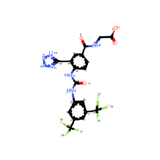 O=C(O)CNC(=O)c1ccc(NC(=O)Nc2cc(C(F)(F)F)cc(C(F)(F)F)c2)c(-c2nnn[nH]2)c1